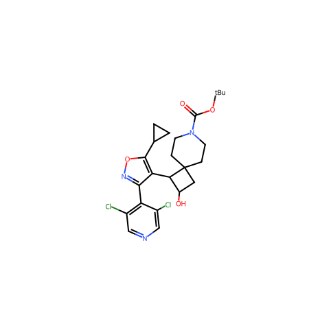 CC(C)(C)OC(=O)N1CCC2(CC1)CC(O)C2c1c(-c2c(Cl)cncc2Cl)noc1C1CC1